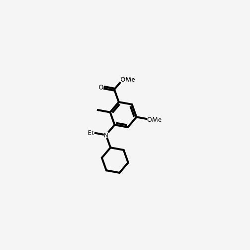 CCN(c1cc(OC)cc(C(=O)OC)c1C)C1CCCCC1